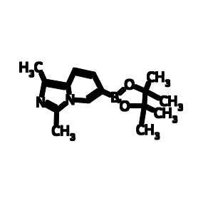 Cc1nc(C)n2cc(B3OC(C)(C)C(C)(C)O3)ccc12